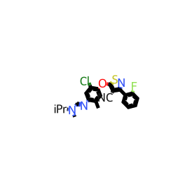 Cc1cc(Oc2snc(-c3ccccc3F)c2C#N)c(Cl)cc1N=CN(C)C(C)C